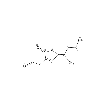 C=CCC1=CC(C(C)CSC)CC1=O